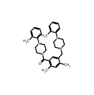 Cc1cc(C)c(C(=O)N2CCN(c3ccccc3C)CC2)cc1CN1CCN(c2ccccc2C)CC1